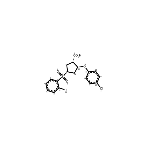 O=C(O)[C@H]1C[C@H](S(=O)(=O)c2ccccc2Cl)C[C@@H]1Oc1ccc(Cl)cc1